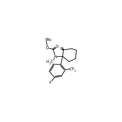 CN(C(=O)OC(C)(C)C)C1(c2ccc(F)cc2C(F)(F)F)CCCCC1=O